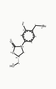 CC(C)(C)Cc1ccc(N2C[C@H](CO)OC2=O)cc1F